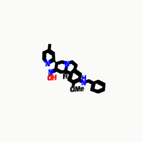 COc1cc2c(cc1NCc1ccccc1)CCN1C[C@@H](c3cc(C)ccn3)C(=NO)C[C@H]21